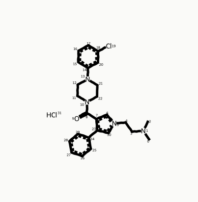 CN(C)CCn1cc(C(=O)N2CCN(c3cccc(Cl)c3)CC2)c(-c2ccccc2)c1.Cl